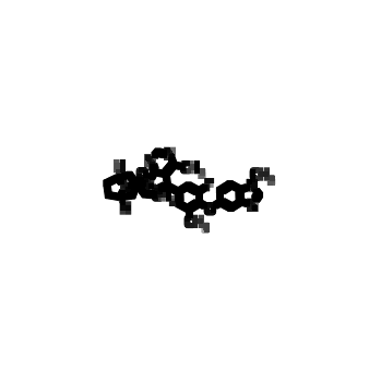 C=CC(=O)N1[C@@H]2CC[C@H]1CC(n1nc(-c3cc(C)c(Oc4ccc5c(c4)ncn5C)c(F)c3)c3c(C)ncnc31)C2